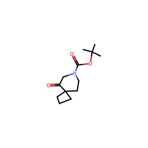 CC(C)(C)OC(=O)N1CCC2(CCC2)C(=O)C1